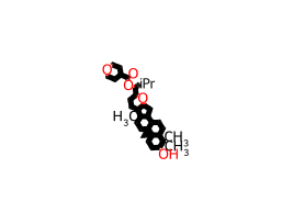 CC(C)C(OC(=O)C1CCOCC1)C1CCC2C(CC3C4CCC5C(C)(C)C(O)CCC56CC46CCC23C)O1